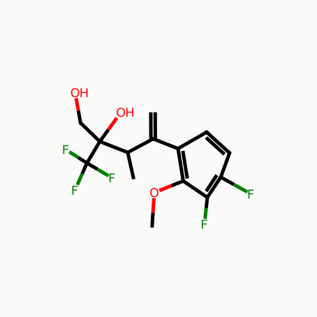 C=C(c1ccc(F)c(F)c1OC)C(C)C(O)(CO)C(F)(F)F